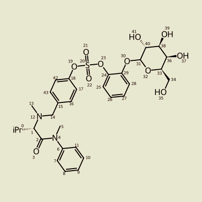 CC(C)[C@@H](C(=O)N(C)c1ccccc1)N(C)Cc1ccc(OS(=O)(=O)Oc2ccccc2OC2O[C@H](CO)[C@H](O)[C@H](O)[C@H]2O)cc1